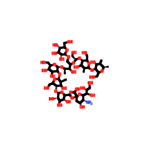 CC1[C@H](C)OC(CO)[C@@H](O[C@@H]2OC(CO)[C@@H](O[C@@H](CO)OC(CO[C@H]3OC(CO)[C@@H](O)C(O)[C@H]3O)[C@@H](O)[C@@H](C)O[C@H]3O[C@H](CO)[C@@H](O)C(O)C3O[C@@H]3OC(CO)[C@@H](O[C@@H]4OC(CO[C@]5(C(=O)O)C[C@@H](O)[C@@H](N)C([C@H](O)[C@H](O)CO)O5)[C@H](O)C(O)[C@@H]4O)C(O)[C@@H]3C)C(O)[C@@H]2C)[C@@H]1O